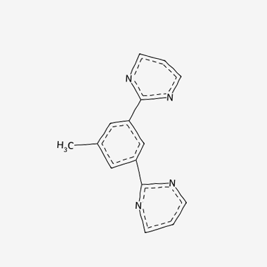 Cc1cc(-c2ncccn2)cc(-c2ncccn2)c1